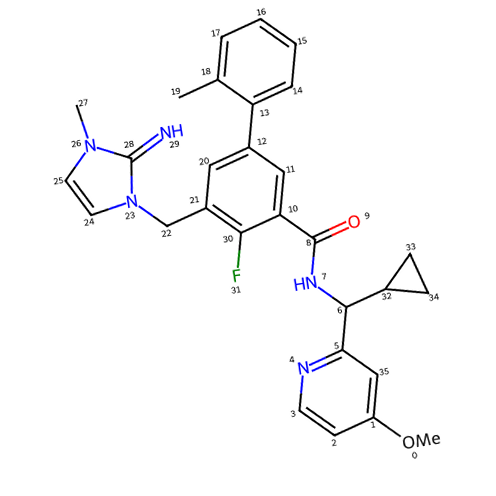 COc1ccnc(C(NC(=O)c2cc(-c3ccccc3C)cc(Cn3ccn(C)c3=N)c2F)C2CC2)c1